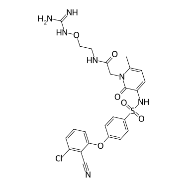 Cc1ccc(NS(=O)(=O)c2ccc(Oc3cccc(Cl)c3C#N)cc2)c(=O)n1CC(=O)NCCONC(=N)N